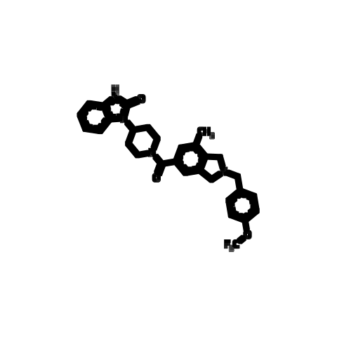 Cc1cc(C(=O)N2CCC(n3c(=O)[nH]c4ccccc43)CC2)cc2c1CN(Cc1ccc(OC(F)(F)F)cc1)C2